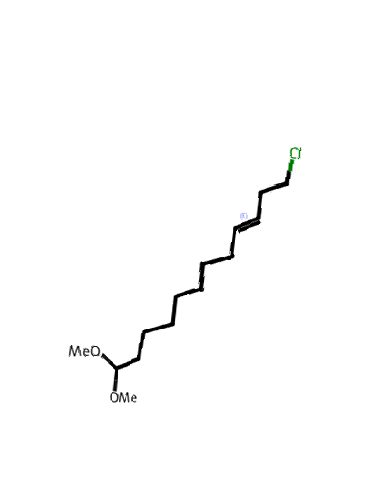 COC(CCCCCCC/C=C/CCCl)OC